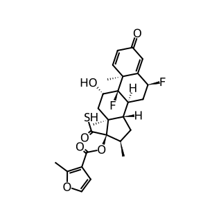 Cc1occc1C(=O)O[C@]1(C(=O)S)[C@H](C)C[C@H]2[C@@H]3C[C@H](F)C4=CC(=O)C=C[C@]4(C)[C@@]3(F)[C@@H](O)C[C@@]21C